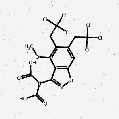 COc1c(CC(Cl)(Cl)Cl)c(CC(Cl)(Cl)Cl)cc2onc(N(C(=O)O)C(=O)O)c12